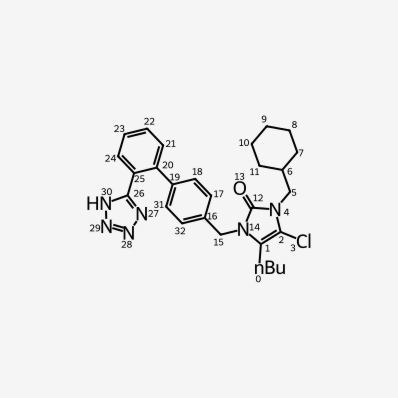 CCCCc1c(Cl)n(CC2CCCCC2)c(=O)n1Cc1ccc(-c2ccccc2-c2nnn[nH]2)cc1